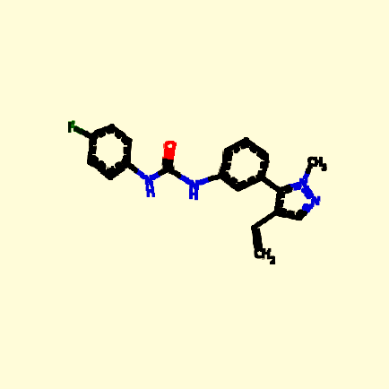 C=Cc1cnn(C)c1-c1cccc(NC(=O)Nc2ccc(F)cc2)c1